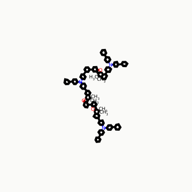 CC1(C)c2cccc(-c3ccc(N(c4ccc(-c5ccccc5)cc4)c4ccc(-c5ccccc5)cc4)cc3)c2-c2oc3ccc(-c4cccc(-c5ccc(N(c6ccc(-c7ccccc7)cc6)c6ccc(-c7ccc8c(c7)-c7oc9cccc(-c%10cccc%11c%12c(oc%10%11)-c%10ccc(-c%11ccc(N(c%13ccc(-c%14ccccc%14)cc%13)c%13ccc(-c%14ccccc%14)cc%13)cc%11)cc%10C%12(C)C)c9c7C8(C)C)cc6)cc5)c4)cc3c21